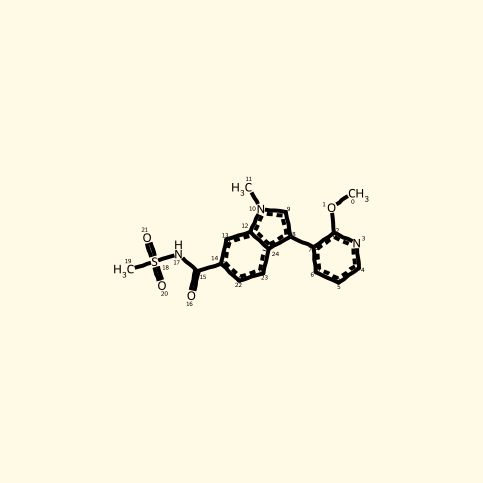 COc1ncccc1-c1cn(C)c2cc(C(=O)NS(C)(=O)=O)ccc12